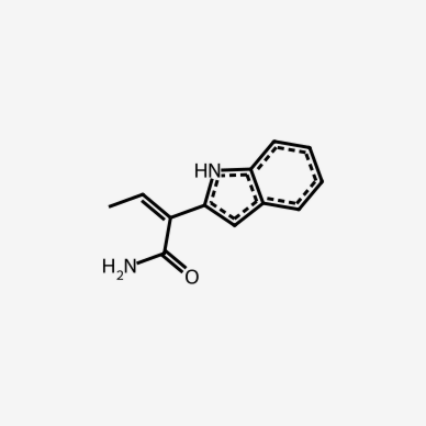 C/C=C(\C(N)=O)c1cc2ccccc2[nH]1